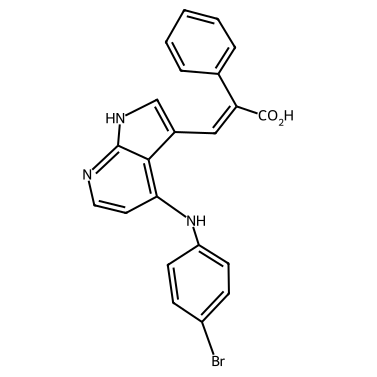 O=C(O)C(=Cc1c[nH]c2nccc(Nc3ccc(Br)cc3)c12)c1ccccc1